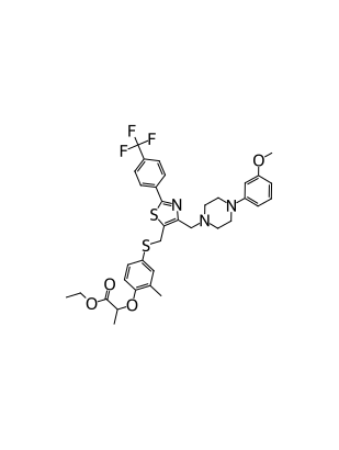 CCOC(=O)C(C)Oc1ccc(SCc2sc(-c3ccc(C(F)(F)F)cc3)nc2CN2CCN(c3cccc(OC)c3)CC2)cc1C